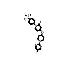 CS(=O)(=O)c1ccc(-n2ccc(OC3CCN(c4ncc(F)cn4)CC3)cc2=O)cc1